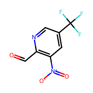 O=Cc1ncc(C(F)(F)F)cc1[N+](=O)[O-]